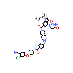 CC(C)n1ccc2c(N3CCC(=O)NC3=O)cc(C(=O)N3CCC4(CCN(Cc5ccc(C(=O)N[C@H]6CC[C@H](Oc7ccc(C#N)c(Cl)c7)CC6)cc5)CC4)CC3)cc21